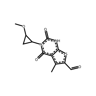 COC1CC1n1c(=O)[nH]c2sc(C=O)c(C)c2c1=O